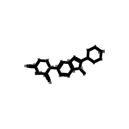 Cn1c(C2CCNCC2)cc2cc(N3CCC(=O)NC3=O)ccc21